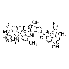 CCC(C)(CC)Nc1cc(C(c2ccc(C)c(NC(=O)c3cc(S(=O)(=O)c4ccc(C(=O)O)c(C(=O)C(C)(C)CC)c4)ccc3C(=O)O)c2)(C(F)(F)F)C(F)(F)F)ccc1C